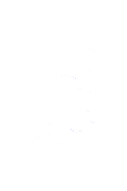 O=C(O)Oc1csc(NN=CC=Cc2ccccc2[N+](=O)[O-])n1